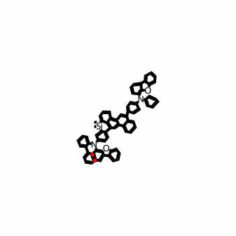 C[Si]1(C)c2cc(N(c3ccccc3-c3ccccc3)c3cccc4c3oc3ccccc34)ccc2-c2cc3c4ccccc4c(-c4ccc(N(c5ccccc5)c5cccc6c5oc5ccccc56)cc4)cc3c3cccc1c23